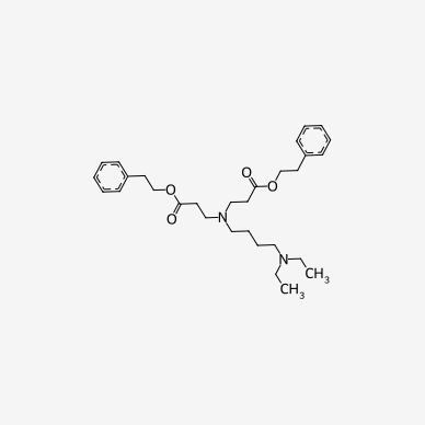 CCN(CC)CCCCN(CCC(=O)OCCc1ccccc1)CCC(=O)OCCc1ccccc1